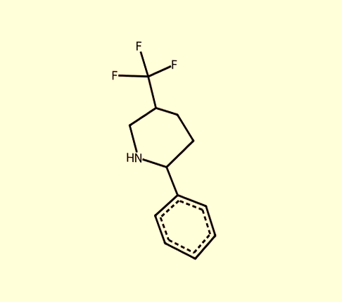 FC(F)(F)C1CCC(c2ccccc2)NC1